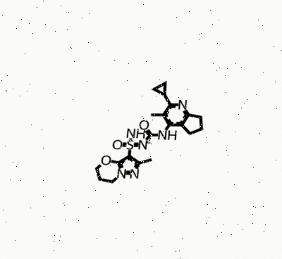 Cc1nn2c(c1S(N)(=O)=NC(=O)Nc1c(C)c(C3CC3)nc3c1CCC3)OCCC2